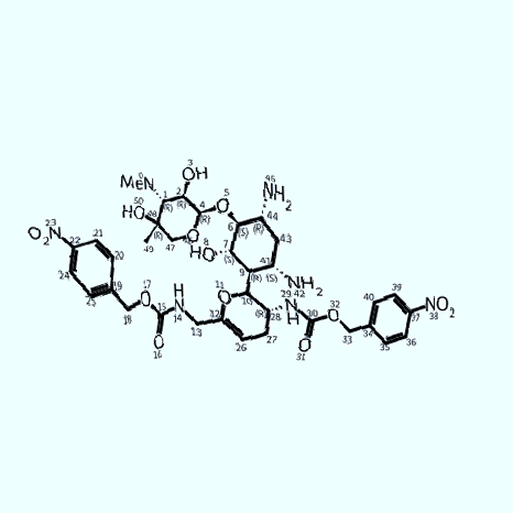 CN[C@@H]1[C@@H](O)[C@@H](O[C@@H]2[C@@H](O)[C@H](C3OC(CNC(=O)OCc4ccc([N+](=O)[O-])cc4)=CC[C@H]3NC(=O)OCc3ccc([N+](=O)[O-])cc3)[C@@H](N)C[C@H]2N)OC[C@]1(C)O